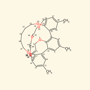 C=CCOc1c2cc(C)cc1-c1cc(C)cc3c1OCCCCCOc1c(cc(C)cc1-2)COCCOCCOC3